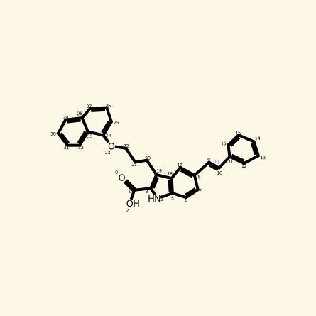 O=C(O)c1[nH]c2ccc(/C=C/c3ccccc3)cc2c1CCCOc1cccc2ccccc12